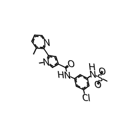 Cc1cccnc1-c1cc(C(=O)Nc2cc(Cl)cc(NS(C)(=O)=O)c2)cn1C